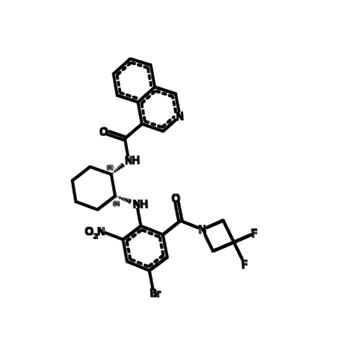 O=C(N[C@H]1CCCC[C@H]1Nc1c(C(=O)N2CC(F)(F)C2)cc(Br)cc1[N+](=O)[O-])c1cncc2ccccc12